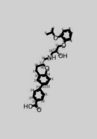 CC(C)Oc1ccccc1OC[C@@H](O)CNC[C@H]1CCc2cc(-c3ccc(C(=O)O)cc3)ccc2O1